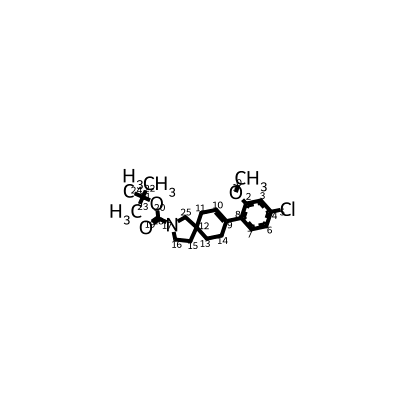 COc1cc(Cl)ccc1C1=CCC2(CC1)CCN(C(=O)OC(C)(C)C)C2